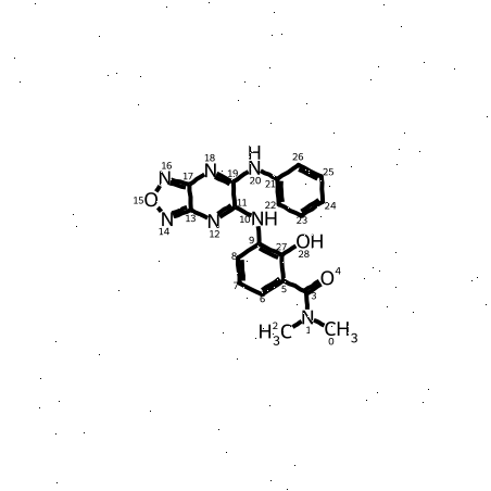 CN(C)C(=O)c1cccc(Nc2nc3nonc3nc2Nc2ccccc2)c1O